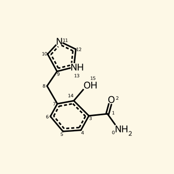 NC(=O)c1cccc(Cc2cnc[nH]2)c1O